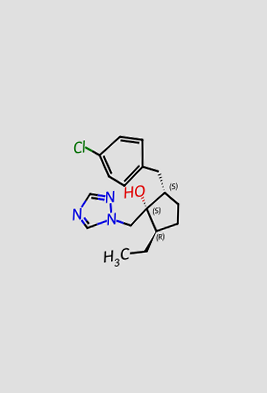 CC[C@@H]1CC[C@@H](Cc2ccc(Cl)cc2)[C@]1(O)Cn1cncn1